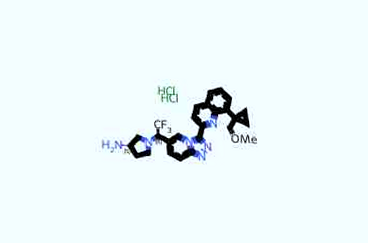 COCC1(c2cccc3ccc(-c4nnc5ccc([C@@H](N6CC[C@H](N)C6)C(F)(F)F)cn45)nc23)CC1.Cl.Cl